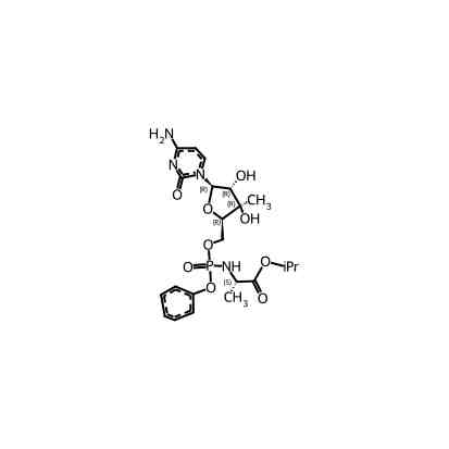 CC(C)OC(=O)[C@H](C)NP(=O)(OC[C@H]1O[C@@H](n2ccc(N)nc2=O)[C@H](O)[C@@]1(C)O)Oc1ccccc1